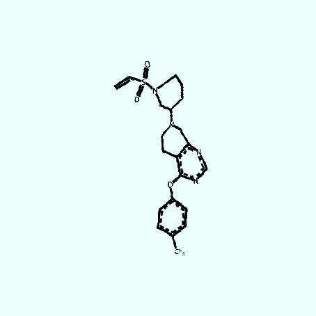 C=CS(=O)(=O)N1CCCC(N2CCc3c(ncnc3Oc3ccc(C(F)(F)F)cc3)C2)C1